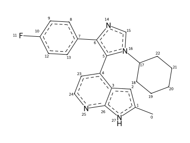 Cc1cc2c(-c3c(-c4ccc(F)cc4)ncn3C3CCCCC3)ccnc2[nH]1